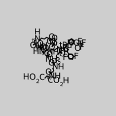 C[C@H](NC(=O)CCCC(=O)ON1C(=O)CCC1=O)C(=O)N[C@H](C)C(=O)N[C@@H](CC(N)=O)C(=O)NCCCN(C(=O)CSCCC(=O)NCCC(=O)N[C@@H](CCC(=O)O)C(=O)O)[C@@H](c1cc(-c2cc(F)ccc2F)cn1Cc1ccccc1)C(C)(C)C.O=C(O)C(F)(F)F